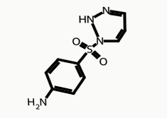 Nc1ccc(S(=O)(=O)N2C=CC=NN2)cc1